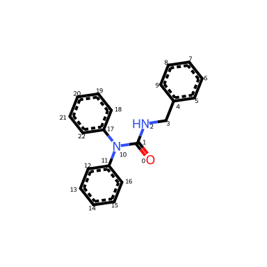 O=C(NCc1ccccc1)N(c1ccccc1)c1ccccc1